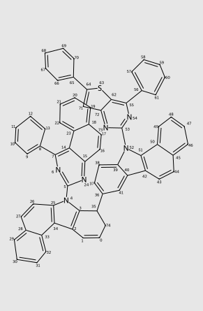 C1=Cc2c(n(-c3nc(-c4ccccc4)c4c(ccc5ccccc54)n3)c3ccc4ccccc4c23)C(c2ccc3c(c2)c2ccc4ccccc4c2n3-c2nc(-c3ccccc3)c3sc(-c4ccccc4)cc3n2)C1